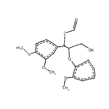 COc1ccc(C(OC=O)C(CO)Oc2ccccc2OC)cc1OC